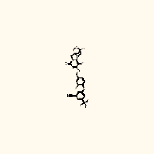 N#Cc1cc(Oc2ccc(COc3nc(=O)n4c(c3F)N3C[C@@H]5C[C@]3(CO5)C4)cc2F)cc(C(F)(F)F)c1